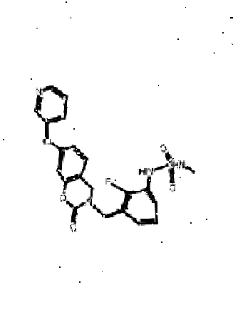 CNS(=O)(=O)Nc1cccc(CN2Cc3ccc(Oc4cccnc4)cc3OC2=O)c1F